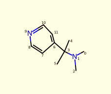 CN(C)C(C)(C)c1ccncc1